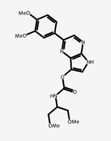 COCC(COC)NC(=O)Oc1c[nH]c2ncc(-c3ccc(OC)c(OC)c3)nc12